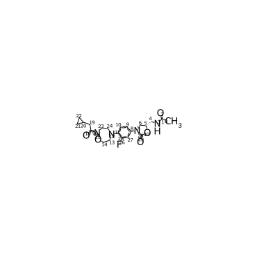 CC(=O)NC[C@H]1CN(c2ccc(N3CCON(C(=O)CC4CC4)CC3)c(F)c2)C(=O)O1